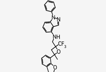 CC1(c2cccc3c2OCC3)CC(CNc2cccc3c2cnn3-c2ccccc2)(C(F)(F)F)O1